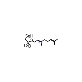 CC(C)=CCC/C(C)=C/COC1(C[SeH])OO1